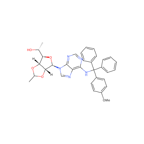 COc1ccc(C(Nc2ncnc3c2ncn3[C@@H]2O[C@H]([C@@H](C)O)[C@H]3OC(C)O[C@H]32)(c2ccccc2)c2ccccc2)cc1